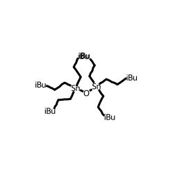 CCC(C)C[CH2][Sn]([CH2]CC(C)CC)([CH2]CC(C)CC)[O][Sn]([CH2]CC(C)CC)([CH2]CC(C)CC)[CH2]CC(C)CC